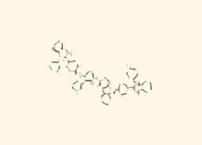 c1ccc(-n2c(-c3ccc(-n4c5ccccc5c5c6sc7c(ccc8c7c7ccccc7n8-c7ccc(-c8nc9ccccc9n8-c8ccccc8)cc7)c6ccc54)cc3)nc3ccccc32)cc1